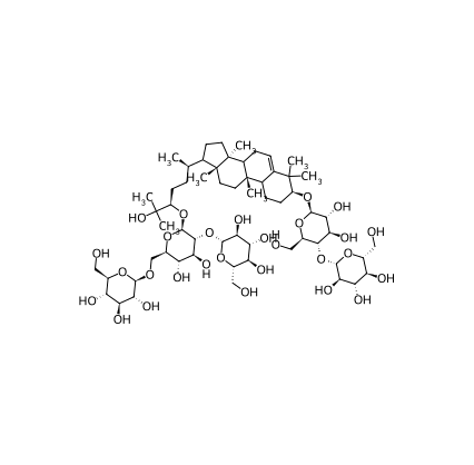 C[C@H](CC[C@@H](O[C@@H]1O[C@H](CO[C@@H]2O[C@H](CO)[C@@H](O)[C@H](O)[C@H]2O)[C@@H](O)[C@H](O)[C@H]1O[C@H]1O[C@@H](CO)[C@H](O)[C@@H](O)[C@@H]1O)C(C)(C)O)C1CC[C@@]2(C)C3CC=C4C(CC[C@H](O[C@@H]5O[C@H](CO)[C@@H](O[C@@H]6O[C@H](CO)[C@@H](O)[C@H](O)[C@H]6O)[C@H](O)[C@H]5O)C4(C)C)[C@]3(C)CC[C@]12C